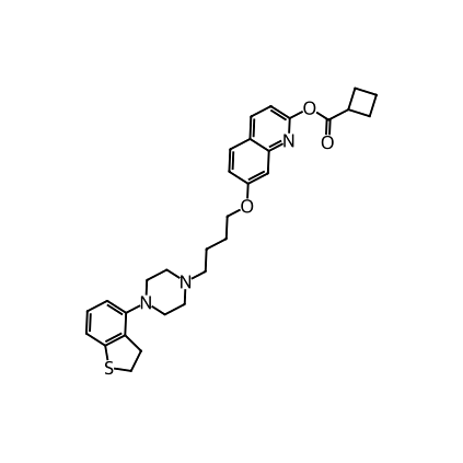 O=C(Oc1ccc2ccc(OCCCCN3CCN(c4cccc5c4CCS5)CC3)cc2n1)C1CCC1